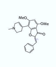 COc1cc(OC)c(C2=CCN(C)CC2)c2c1C(=O)/C(=C/c1ccccc1)O2